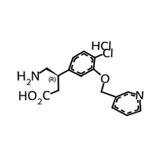 Cl.NC[C@H](CC(=O)O)c1ccc(Cl)c(OCc2cccnc2)c1